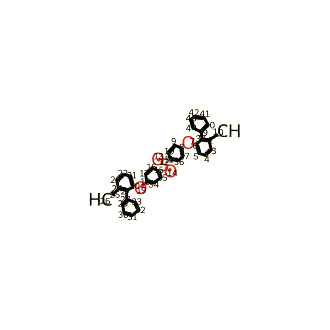 C#Cc1cccc(Oc2ccc(S(=O)(=O)c3ccc(Oc4cccc(C#C)c4-c4ccccc4)cc3)cc2)c1-c1ccccc1